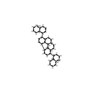 c1cc(-c2ccc3c4c2ccc2ccc5c(-c6ccnc7ccccc67)ccc-3c5c24)c2cccnc2c1